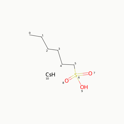 CCCCCCS(=O)(=O)O.[CsH]